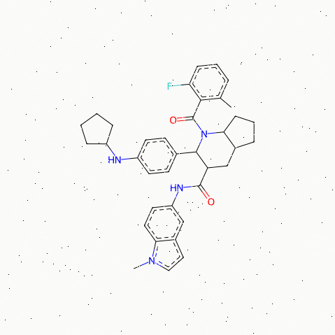 Cc1cccc(F)c1C(=O)N1C2CCCC2CC(C(=O)Nc2ccc3c(ccn3C)c2)C1c1ccc(NC2CCCC2)cc1